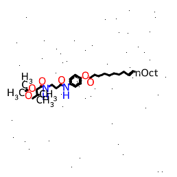 CCCCCCCCC=CCCCCCCCC(=O)Oc1ccc(NC(=O)CCNC(=O)C2OC(C)(C)OCC2(C)C)cc1